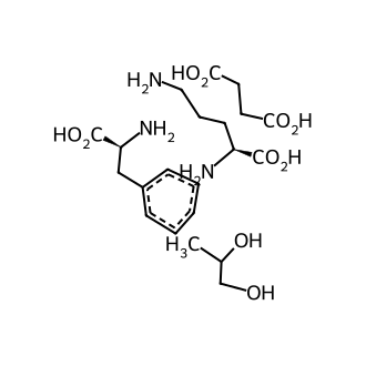 CC(O)CO.NCCC[C@H](N)C(=O)O.N[C@@H](Cc1ccccc1)C(=O)O.O=C(O)CCC(=O)O